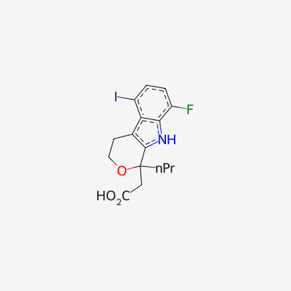 CCCC1(CC(=O)O)OCCc2c1[nH]c1c(F)ccc(I)c21